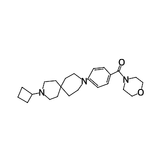 O=C(c1ccc(N2CCC3(CC2)CCN(C2CCC2)CC3)cc1)N1CCOCC1